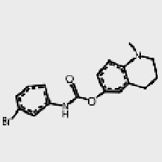 CN1CCCc2cc(OC(=O)Nc3cccc(Br)c3)ccc21